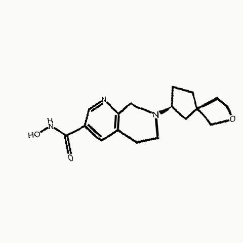 O=C(NO)c1cnc2c(c1)CCN([C@H]1CCC3(COC3)C1)C2